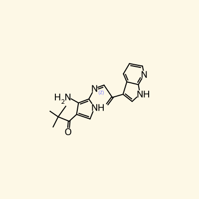 C=C(/C=N\c1[nH]cc(C(=O)C(C)(C)C)c1N)c1c[nH]c2ncccc12